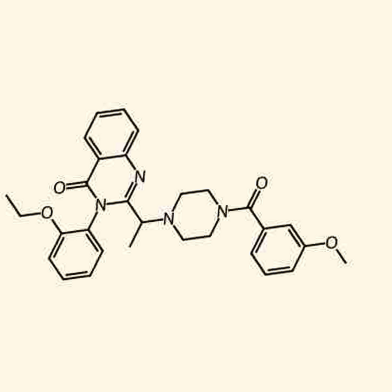 CCOc1ccccc1-n1c(C(C)N2CCN(C(=O)c3cccc(OC)c3)CC2)nc2ccccc2c1=O